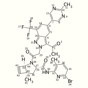 CC(=O)c1c2cc(-c3cnc(C)nc3)cc(C(F)(F)F)c2nn1CC(=O)N1[C@H](C(=O)Nc2nc(Br)ccc2C)C[C@@]2(C)C#C[C@@H]12